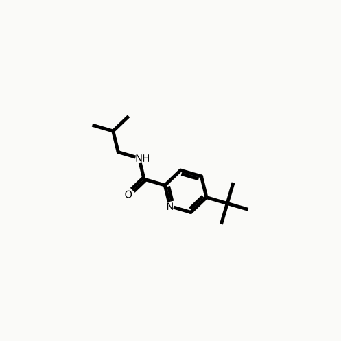 CC(C)CNC(=O)c1ccc(C(C)(C)C)cn1